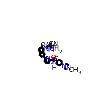 C=C(C#N)CNc1c(OC)ccc2ccc(-c3cccc(C(=O)NC4(C)CCC(N5CCN(C)CC5)CC4)n3)cc12